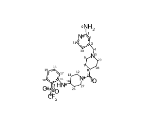 Nc1cc(CN2CCC(C(=O)N3CCC(Nc4ccccc4S(=O)(=O)C(F)(F)F)CC3)CC2)ccn1